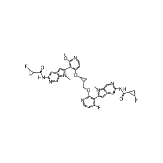 COc1nccc(OC2CC2COc2nccc(F)c2-c2cc3cc(NC(=O)C4CC4F)ncc3n2C)c1-c1cc2cc(NC(=O)C3CC3F)ncc2n1C